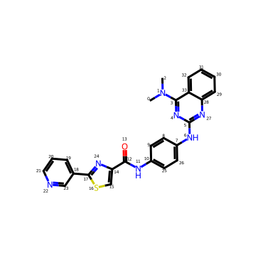 CN(C)c1nc(Nc2ccc(NC(=O)c3csc(-c4cccnc4)n3)cc2)nc2ccccc12